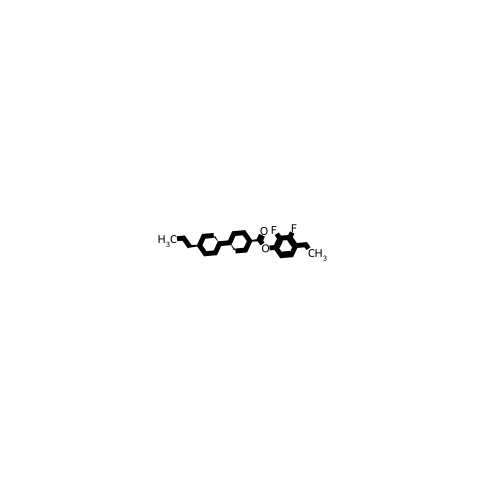 CCC[C@H]1CC[C@H]([C@H]2CC[C@H](C(=O)Oc3ccc(CC)c(F)c3F)CC2)CC1